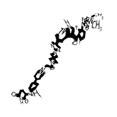 CCN(C)S(=O)(=O)Nc1ccc(F)c(C(=O)c2c[nH]c3ncc(-c4cnc(N5CC6(CN(C(=O)CN7CCC(c8ccc(NC9CCC(=O)NC9=O)cc8)CC7)C6)C5)nc4)cc23)c1F